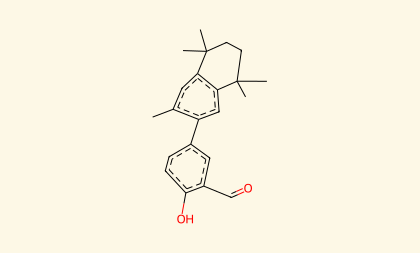 Cc1cc2c(cc1-c1ccc(O)c(C=O)c1)C(C)(C)CCC2(C)C